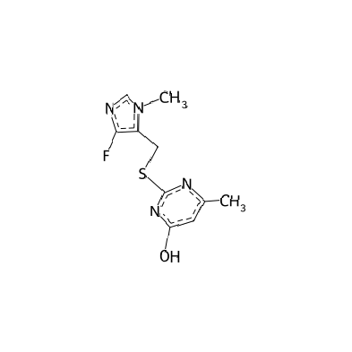 Cc1cc(O)nc(SCc2c(F)ncn2C)n1